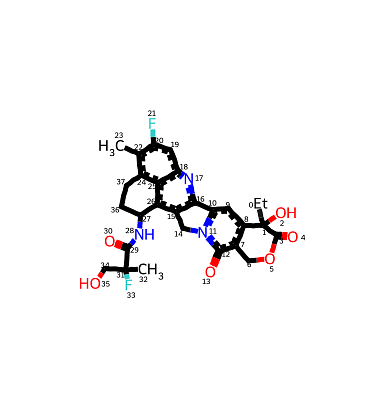 CCC1(O)C(=O)OCc2c1cc1n(c2=O)Cc2c-1nc1cc(F)c(C)c3c1c2C(NC(=O)C(C)(F)CO)CC3